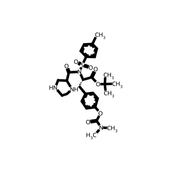 Cc1ccc(S(=O)(=O)N(C(=O)C2CNCCN2)[C@@H](Cc2ccc(OC(=O)N(C)C)cc2)C(=O)OC(C)(C)C)cc1